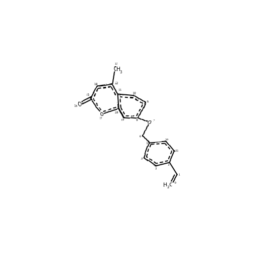 C=Cc1ccc(COc2ccc3c(C)cc(=O)oc3c2)cc1